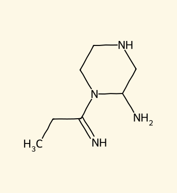 CCC(=N)N1CCNCC1N